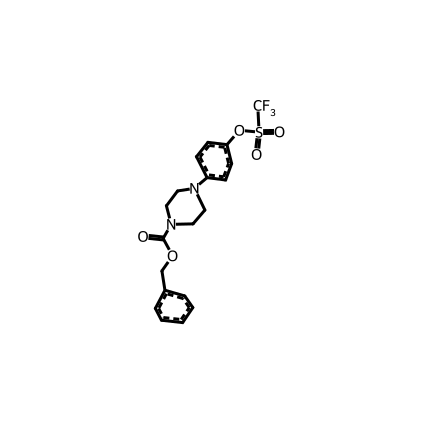 O=C(OCc1ccccc1)N1CCN(c2ccc(OS(=O)(=O)C(F)(F)F)cc2)CC1